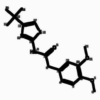 COc1ccc(CC(=O)Nc2nc(C(C)(C)C)cs2)cc1OC